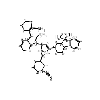 CC1C(C2=C(N)CCCC2)C2C=CCCC2N1C1C=C(C2CCC3C4C=CC=CC4C(C)(C)C3C2)N2C(C3CCCC(C#N)C3)N12